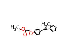 CCOC(=O)COc1ccc(C#Cc2ccccc2C)cc1